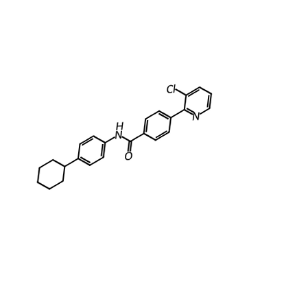 O=C(Nc1ccc(C2CCCCC2)cc1)c1ccc(-c2ncccc2Cl)cc1